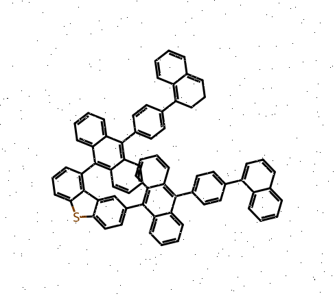 C1=c2ccccc2=C(c2ccc(-c3c4ccccc4c(-c4cccc5sc6ccc(-c7c8ccccc8c(-c8ccc(-c9cccc%10ccccc9%10)cc8)c8ccccc78)cc6c45)c4ccccc34)cc2)CC1